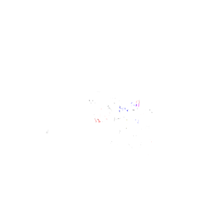 CCCCCCCCCCCCCCCC(=O)Oc1cc2c(cc1OC)[C@@]1(CS[C@@H]3c4c(OC(C)=O)c(C)c5c(c4[C@H](COC1=O)N1C3[C@H]3N[C@H](Cc4cc(C)c(OC)c(O)c43)[C@@H]1C#N)OCO5)NCC2